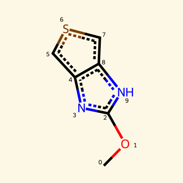 COc1nc2cscc2[nH]1